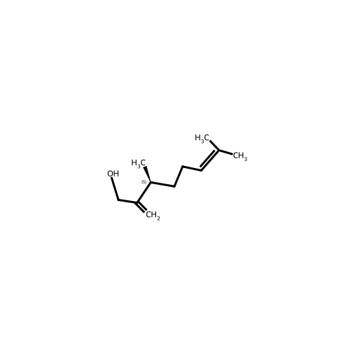 C=C(CO)[C@@H](C)CCC=C(C)C